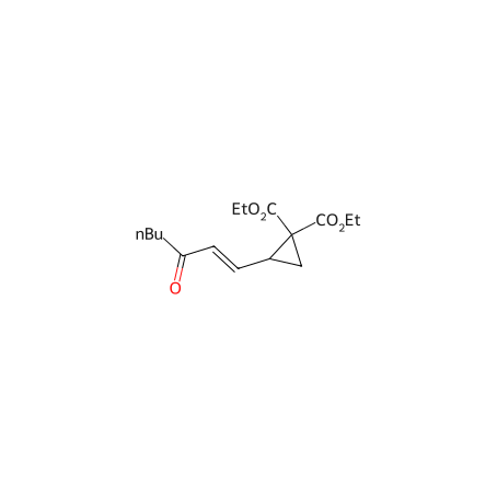 CCCCC(=O)C=CC1CC1(C(=O)OCC)C(=O)OCC